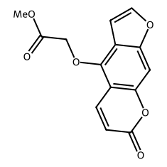 COC(=O)COc1c2ccoc2cc2oc(=O)ccc12